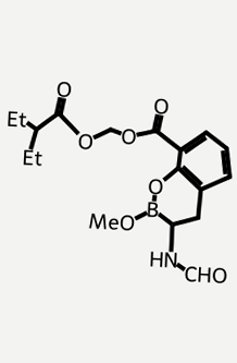 CCC(CC)C(=O)OCOC(=O)c1cccc2c1OB(OC)C(NC=O)C2